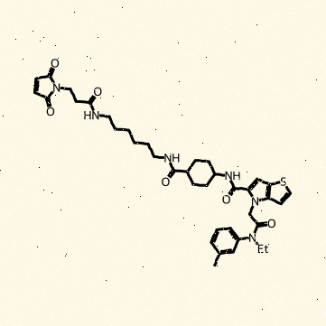 CCN(C(=O)Cn1c(C(=O)NC2CCC(C(=O)NCCCCCCNC(=O)CCN3C(=O)C=CC3=O)CC2)cc2sccc21)c1cccc(C)c1